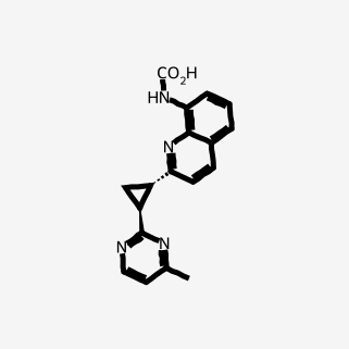 Cc1ccnc([C@H]2C[C@@H]2c2ccc3cccc(NC(=O)O)c3n2)n1